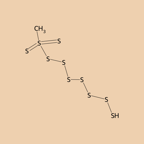 CS(=S)(=S)SSSSSSS